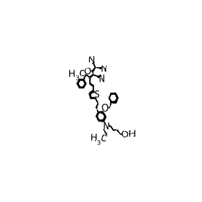 CCCN(CCCCO)c1ccc(/C=C/c2ccc(/C=C/C3=C(C#N)C(=C(C#N)C#N)OC3(C)c3ccccc3)s2)c(OCc2ccccc2)c1